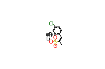 CCOS(=O)(=O)C(C)=Cc1ccc(Cl)cc1.[Li][CH2]CCC